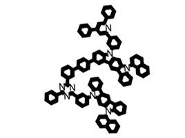 c1ccc(-c2cc(-c3ccccc3)nc(-c3cccc(-n4c5ccc(-c6ccc(-c7cccc(-c8nc(-c9ccccc9)nc(-c9cccc(-n%10c%11ccccc%11c%11cc%12c%13ccccc%13n(-c%13cccc%14ccccc%13%14)c%12cc%11%10)c9)n8)c7)cc6)cc5c5cc6c7ccccc7n(-c7cccc8ccccc78)c6cc54)c3)c2)cc1